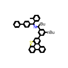 CCCCc1cc(-c2cc3sc4cccc5c6ccccc6c(c2)c3c45)cc(C(/N=C(/c2ccc(-c3ccccc3)cc2)c2ccccc2C)C(C)CC)c1